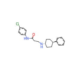 O=C(CCN[C@H]1CC[C@H](c2ccccc2)CC1)Nc1ccc(Cl)cc1